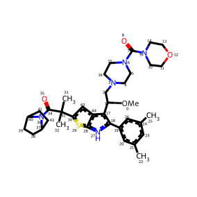 COC(CN1CCN(C(=O)N2CCOCC2)CC1)c1c(-c2cc(C)cc(C)c2)[nH]c2sc(C(C)(C)C(=O)N3C4CCC3CC4)cc12